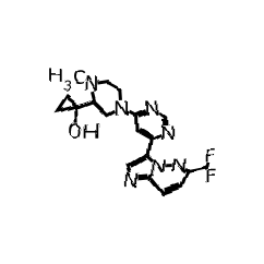 CN1CCN(c2cc(-c3cnc4ccc(C(F)F)nn34)ncn2)CC1C1(O)CC1